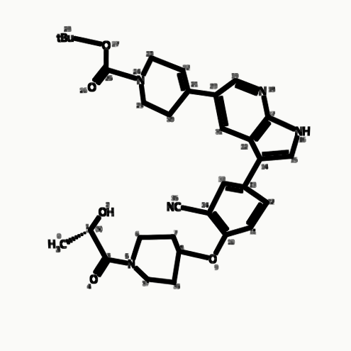 C[C@H](O)C(=O)N1CCC(Oc2ccc(-c3c[nH]c4ncc(C5=CCN(C(=O)OC(C)(C)C)CC5)cc34)cc2C#N)CC1